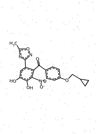 Cc1nc(-c2cc(O)c(O)c([N+](=O)[O-])c2C(=O)c2ccc(OCC3CC3)cc2)no1